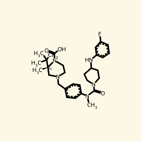 CN(C(=O)N1CCC(Nc2cccc(F)c2)CC1)c1ccc(CN2CCN(C(=O)O)[C@@](C)(C(C)(C)C)C2)cc1